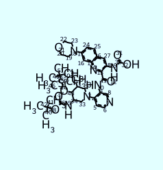 CC1CN(c2ccncc2NC(=O)c2nc3cc(N4CCOCC4)ccc3cc2NC(=O)O)CC(NC(=O)OC(C)(C)C)C1O[Si](C)(C)C(C)(C)C